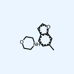 C1COCCN1.Cc1ccc2ccoc2c1